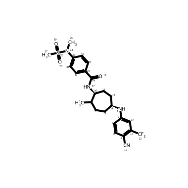 CC1CC[C@H](Nc2ccc(C#N)c(C(F)(F)F)c2)CC[C@@H]1NC(=O)c1ccc(N(C)S(C)(=O)=O)cc1